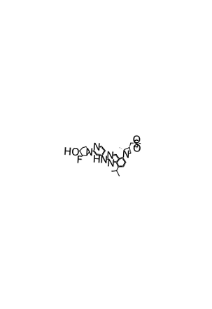 CC(C)c1ccc(N2C[C@H](CS(C)(=O)=O)[C@H]2C)c2cnc(Nc3ccnc(N4CC[C@@H](O)[C@@H](F)C4)c3)nc12